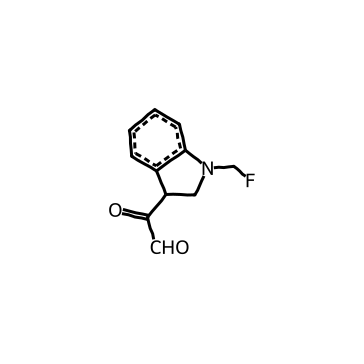 O=CC(=O)C1CN(CF)c2ccccc21